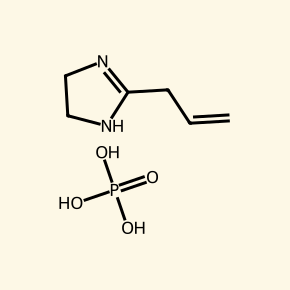 C=CCC1=NCCN1.O=P(O)(O)O